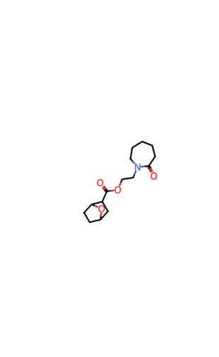 O=C(OCCN1CCCCCC1=O)C1CC2CCC1O2